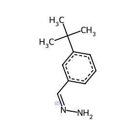 CC(C)(C)c1cccc(/C=N\N)c1